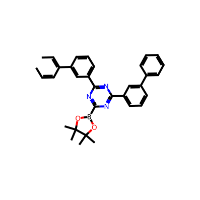 C/C=C\C(=C/C)c1cccc(-c2nc(B3OC(C)(C)C(C)(C)O3)nc(-c3cccc(-c4ccccc4)c3)n2)c1